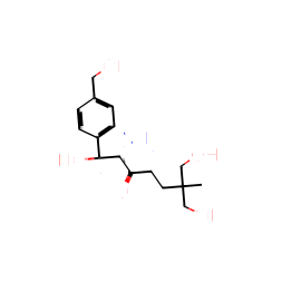 CC(CO)(CO)CCC(=O)[C@@H](N)[C@@](C)(O)c1ccc(CO)cc1